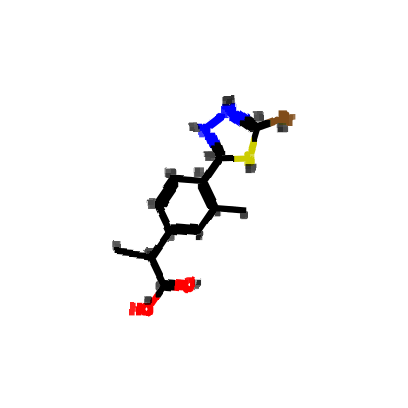 Cc1cc(C(C)C(=O)O)ccc1-c1nnc(Br)s1